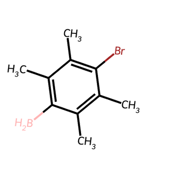 Bc1c(C)c(C)c(Br)c(C)c1C